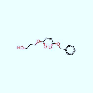 O=C(/C=C\C(=O)OCc1ccccc1)OCCCO